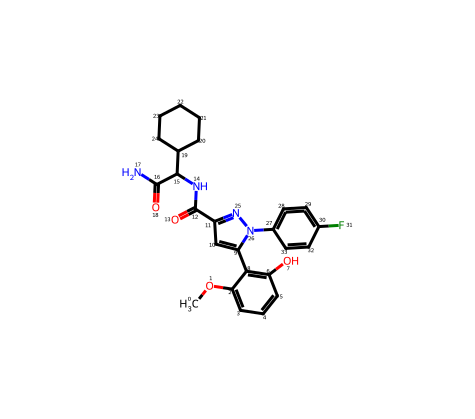 COc1cccc(O)c1-c1cc(C(=O)NC(C(N)=O)C2CCCCC2)nn1C1=C=C=C(F)C=C1